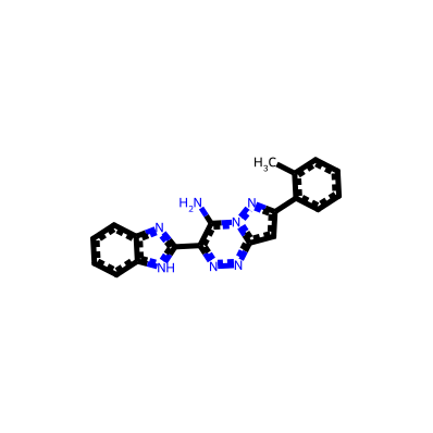 Cc1ccccc1-c1cc2nnc(-c3nc4ccccc4[nH]3)c(N)n2n1